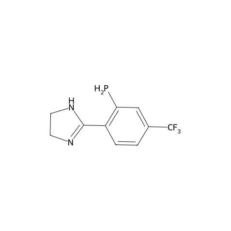 FC(F)(F)c1ccc(C2=NCCN2)c(P)c1